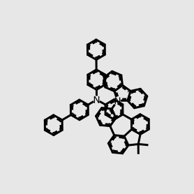 CC1(C)c2cccc(-c3ccc(N(c4ccc(-c5ccccc5)cc4)c4ccc(-c5ccccc5)cc4)cc3)c2-c2c(-c3cccc(-n4c5ccccc5c5ccccc54)c3)cccc21